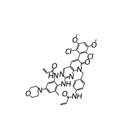 C=CC(=O)Nc1ccc(Cn2c(=O)c(-c3c(Cl)c(OC)cc(OC)c3Cl)cc3cnc(Nc4c(C)cc(N5CCOCC5)cc4NC(=O)C=C)nc32)cc1